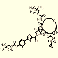 CC(C)(C)COC(=O)N[C@H]1CCCCC/C=C\[C@H]2C[C@@]2(C(=O)NS(=O)(=O)C2CC2)NC(=O)[C@@H]2[C@H]3CN(C(=O)c4nc(-c5ccc(OC(=O)OCC(C)(C)C)c(Cl)c5)cs4)C[C@H]3CN2C1=O